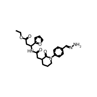 CCOC(=O)CC(NC(=O)CC1CCCN(c2ccc(C=NN)cc2)C1=O)c1ccco1